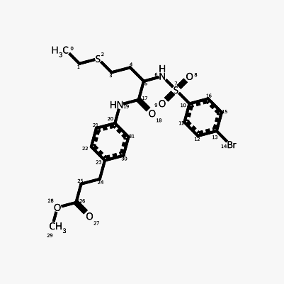 CCSCCC(NS(=O)(=O)c1ccc(Br)cc1)C(=O)Nc1ccc(CCC(=O)OC)cc1